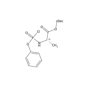 CCCCCCCCCCOC(=O)[C@H](C)NP(=O)(Cl)Oc1ccccc1